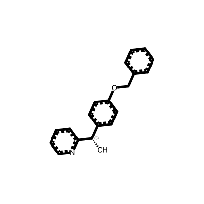 O[C@@H](c1ccc(OCc2ccccc2)cc1)c1ccccn1